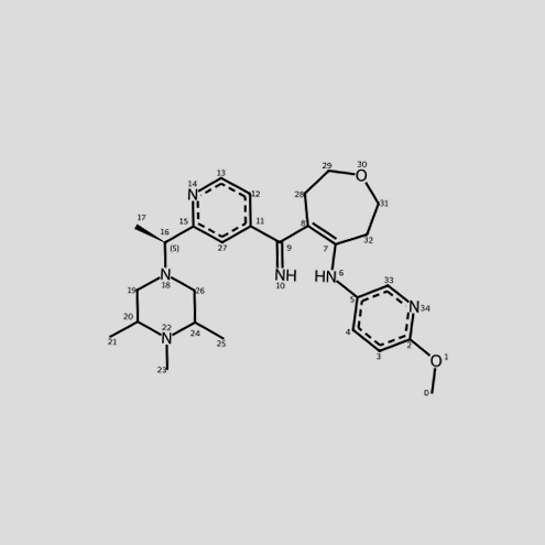 COc1ccc(NC2=C(C(=N)c3ccnc([C@H](C)N4CC(C)N(C)C(C)C4)c3)CCOCC2)cn1